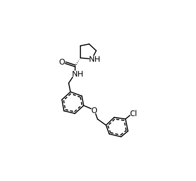 O=C(NCc1cccc(OCc2cccc(Cl)c2)c1)[C@@H]1CCCN1